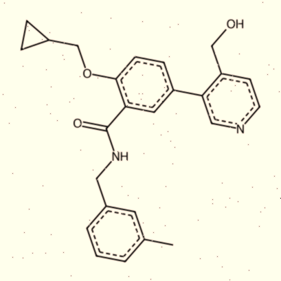 Cc1cccc(CNC(=O)c2cc(-c3cnccc3CO)ccc2OCC2CC2)c1